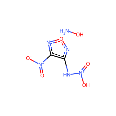 NO.O=[N+](O)Nc1nonc1[N+](=O)[O-]